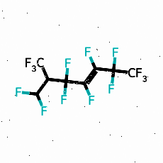 FC(=C(F)C(F)(F)C(F)(F)F)C(F)(F)C(C(F)F)C(F)(F)F